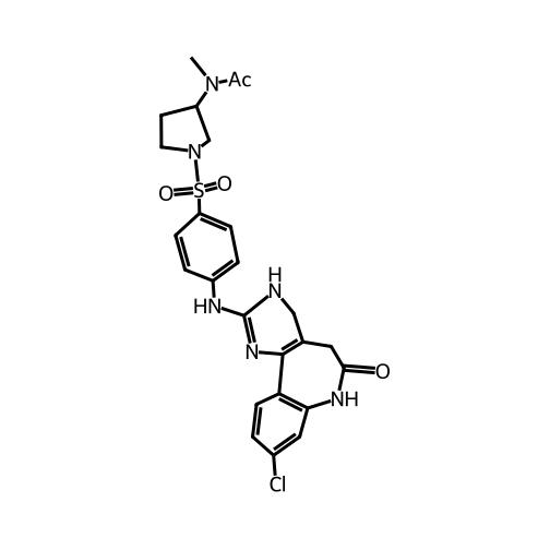 CC(=O)N(C)C1CCN(S(=O)(=O)c2ccc(NC3=NC4=C(CN3)CC(=O)Nc3cc(Cl)ccc34)cc2)C1